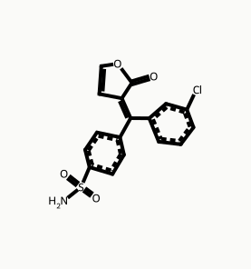 NS(=O)(=O)c1ccc(C(=C2C=COC2=O)c2cccc(Cl)c2)cc1